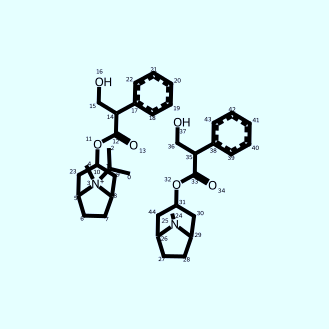 CC(C)[N+]1(C)C2CCC1CC(OC(=O)C(CO)c1ccccc1)C2.CN1C2CCC1CC(OC(=O)C(CO)c1ccccc1)C2